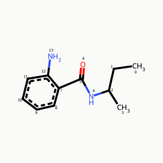 CCC(C)NC(=O)c1[c]cccc1N